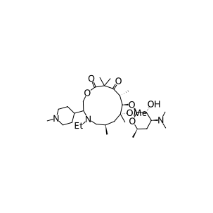 CCN1C[C@H](C)C[C@@](C)(OC)[C@H](O[C@@H]2O[C@H](C)C[C@H](N(C)C)[C@H]2O)[C@@H](C)C(=O)C(C)(C)C(=O)OCC1C1CCN(C)CC1